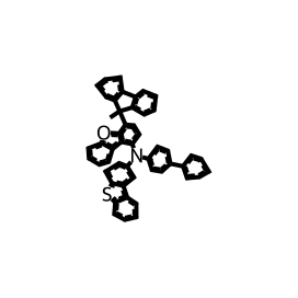 CC1(c2ccc(N(c3ccc(-c4ccccc4)cc3)c3ccc4sc5ccccc5c4c3)c3c2oc2ccccc23)c2ccccc2-c2ccccc21